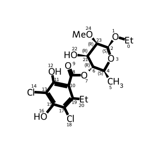 CCO[C@H]1O[C@@H](C)[C@H](OC(=O)c2c(O)c(Cl)c(O)c(Cl)c2CC)[C@@H](O)[C@H]1OC